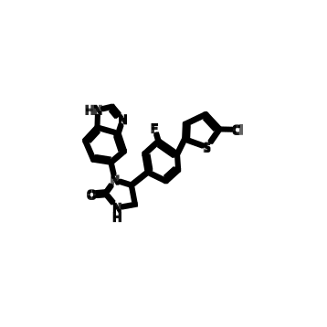 O=C1NCC(c2ccc(-c3ccc(Cl)s3)c(F)c2)N1c1ccc2[nH]cnc2c1